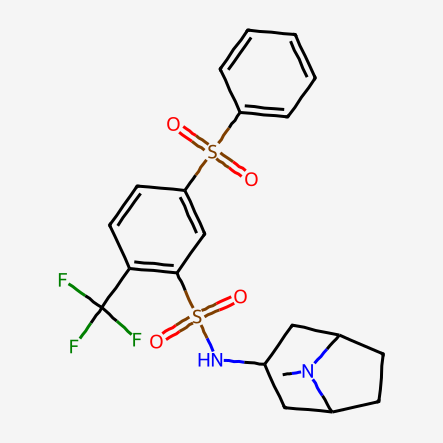 CN1C2CCC1CC(NS(=O)(=O)c1cc(S(=O)(=O)c3ccccc3)ccc1C(F)(F)F)C2